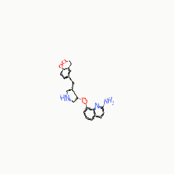 Nc1ccc2cccc(O[C@@H]3CNCC3Cc3ccc4c(c3)CCOO4)c2n1